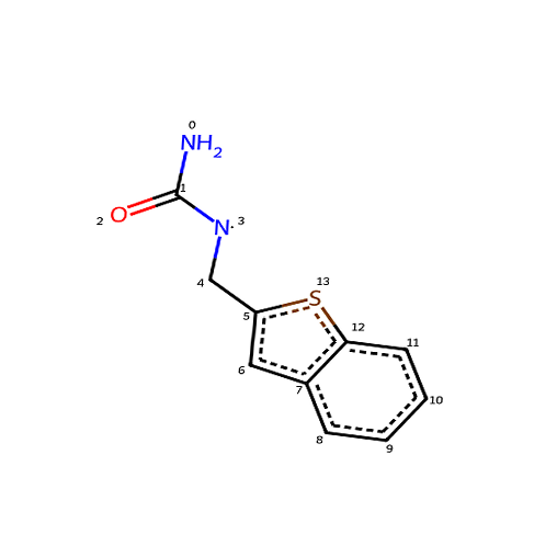 NC(=O)[N]Cc1cc2ccccc2s1